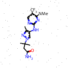 CNc1nc(Nc2cn(C(C)(C)CC(N)=O)nc2C)ncc1C(F)(F)F